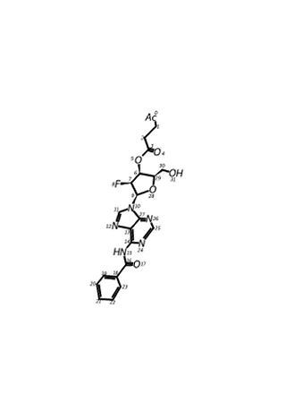 CC(=O)CCC(=O)O[C@@H]1[C@H](F)[C@H](n2cnc3c(NC(=O)c4ccccc4)ncnc32)O[C@@H]1CO